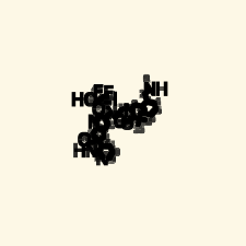 CNCc1ccccc1CN(CC(=O)Nc1cnc2c(c1)CC1(C2)C(=O)Nc2ncccc21)C(=O)C(C)(C)C.O=C(O)C(F)(F)F